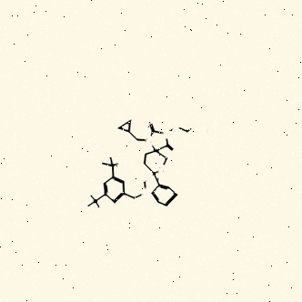 CCPN1C(=O)N(CC2CC2)C2(CC[C@@](CO[C@H](C)c3cc(C(F)(F)F)cc(C(F)(F)F)c3)(c3ccccc3)NC2)C1=O